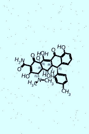 Cc1ccc([C@@H]2c3cccc(O)c3C(=O)C3=C(O)[C@]4(O)C(=O)C(C(N)=O)=C(O)[C@@H](N(C)C)[C@@H]4[C@@H](O)[C@@H]32)cc1